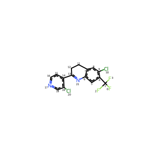 FC(F)(F)c1cc2c(cc1Cl)CCC(c1ccncc1Cl)=N2